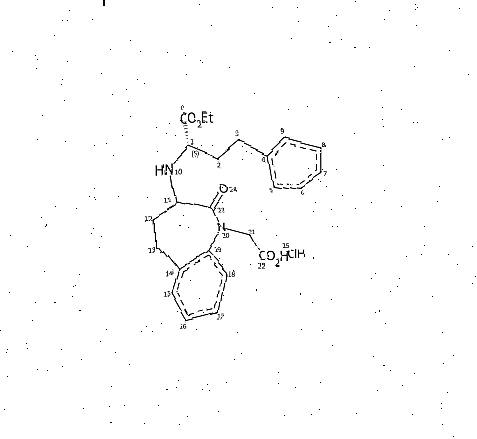 CCOC(=O)[C@H](CCc1ccccc1)NC1CCc2ccccc2N(CC(=O)O)C1=O.Cl